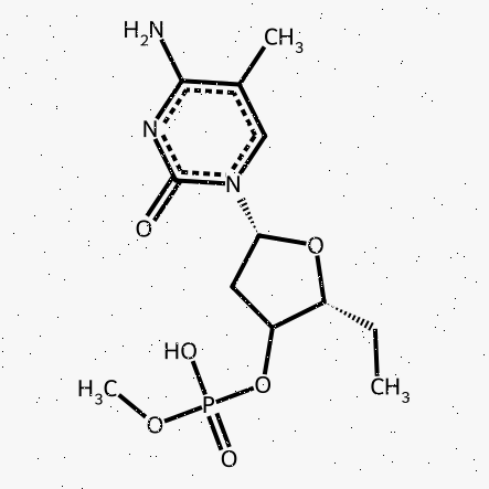 CC[C@H]1O[C@@H](n2cc(C)c(N)nc2=O)CC1OP(=O)(O)OC